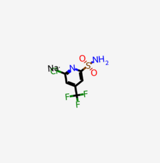 NS(=O)(=O)c1cc(C(F)(F)F)cc(Cl)n1.[Na]